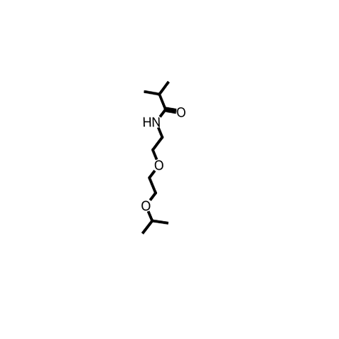 CC(C)OCCOCCNC(=O)C(C)C